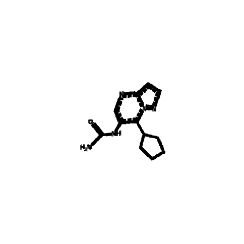 NC(=O)Nc1cnc2ccnn2c1C1CCCC1